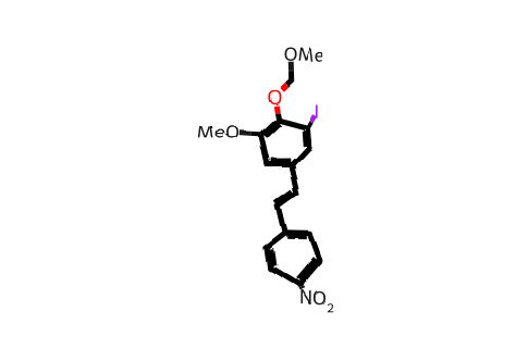 COCOc1c(I)cc(C=Cc2ccc([N+](=O)[O-])cc2)cc1OC